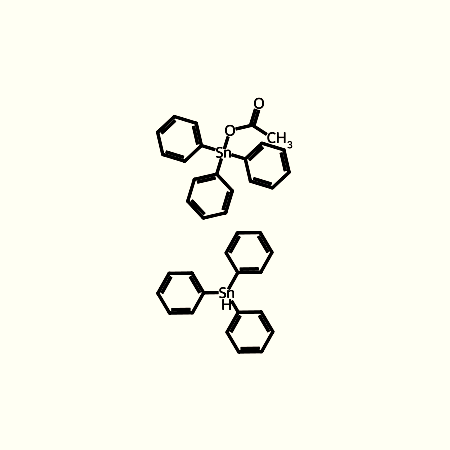 CC(=O)[O][Sn]([c]1ccccc1)([c]1ccccc1)[c]1ccccc1.c1cc[c]([SnH]([c]2ccccc2)[c]2ccccc2)cc1